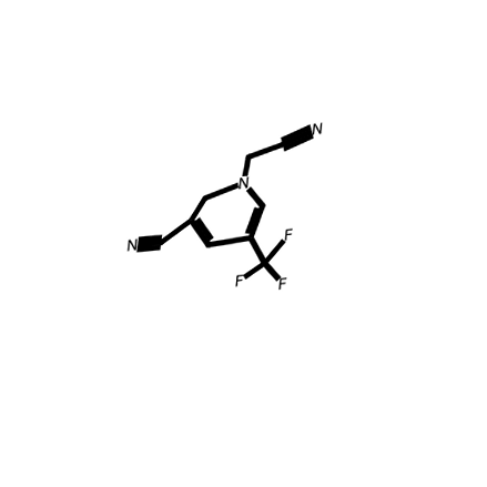 N#CCN1C=C(C(F)(F)F)C=C(C#N)C1